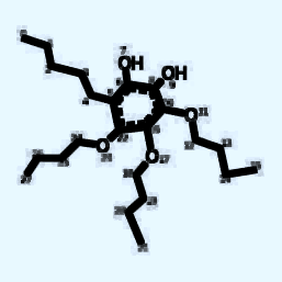 CCCCCc1c(O)c(O)c(OCCCC)c(OCCCC)c1OCCCC